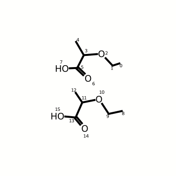 CCOC(C)C(=O)O.CCOC(C)C(=O)O